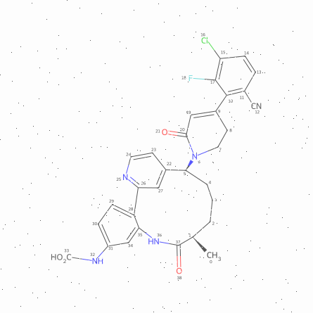 C[C@@H]1CCC[C@H](N2CCC(c3c(C#N)ccc(Cl)c3F)=CC2=O)c2ccnc(c2)-c2ccc(NC(=O)O)cc2NC1=O